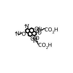 CN(C)c1cc(OCC[N+](C)(C)C)c2ccc3c(S(=O)(=O)N(C)CCC(=O)O)cc(S(=O)(=O)N(C)CCC(=O)O)c4ccc1c2c34